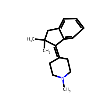 CN1CCC(=C2c3ccccc3CC2(C)C)CC1